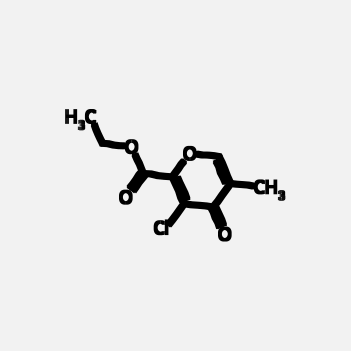 CCOC(=O)c1occ(C)c(=O)c1Cl